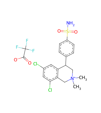 C[N+]1(C)Cc2c(Cl)cc(Cl)cc2C(c2ccc(S(N)(=O)=O)cc2)C1.O=C([O-])C(F)(F)F